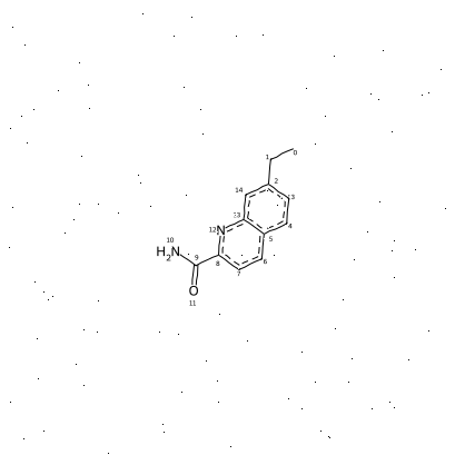 CCc1[c]cc2ccc(C(N)=O)nc2c1